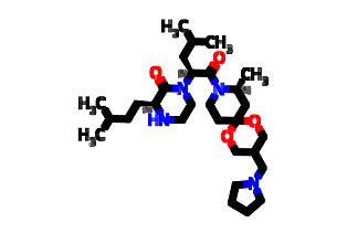 CC(C)CC[C@@H]1NCCN([C@@H](CC(C)C)C(=O)N2CCC3(C[C@@H]2C)OCC(CN2CCCC2)CO3)C1=O